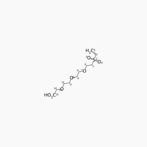 C=CS(=O)(=O)CCOCCOCCOCC(=O)O